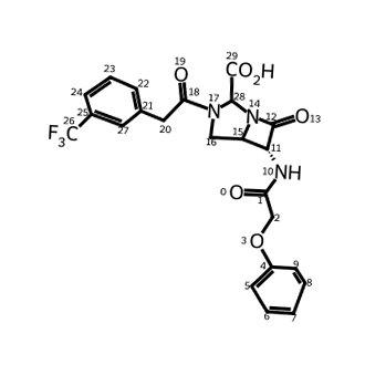 O=C(COc1ccccc1)N[C@H]1C(=O)N2C1CN(C(=O)Cc1cccc(C(F)(F)F)c1)C2C(=O)O